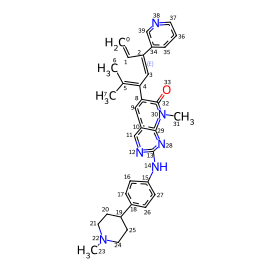 C=C/C(=C\C(=C(C)C)c1cc2cnc(Nc3ccc(C4CCN(C)CC4)cc3)nc2n(C)c1=O)c1cccnc1